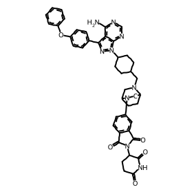 Nc1ncnc2c1c(-c1ccc(Oc3ccccc3)cc1)nn2C1CCC(CN2CC3CCC2CN3c2ccc3c(c2)C(=O)N(C2CCC(=O)NC2=O)C3=O)CC1